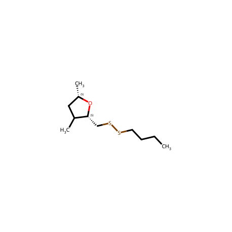 CCCCSSC[C@H]1O[C@@H](C)CC1C